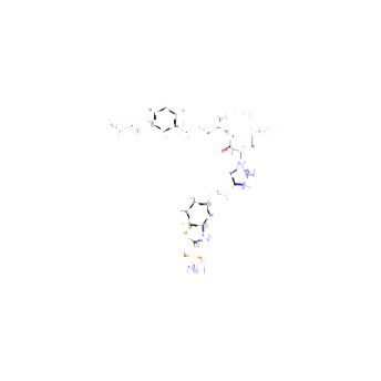 NS(=O)(=O)c1nc2cc(OCc3cn([C@H](CCO)C(=O)N[C@@H](CSCc4cccc(OCCF)c4)C(=O)O)nn3)ccc2s1